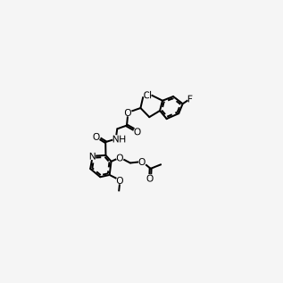 COc1ccnc(C(=O)NCC(=O)OC(C)Cc2ccc(F)cc2Cl)c1OCOC(C)=O